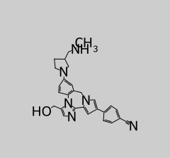 CNCC1CCN(c2ccc3c(c2)Cn2cc(-c4ccc(C#N)cc4)cc2-c2ncc(CO)n2-3)C1